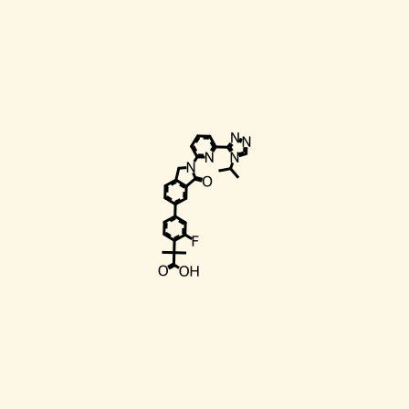 CC(C)n1cnnc1-c1cccc(N2Cc3ccc(-c4ccc(C(C)(C)C(=O)O)c(F)c4)cc3C2=O)n1